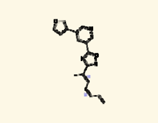 C=C/C=C\C=C(/C)c1noc(-c2cncc(-c3ccoc3)c2)n1